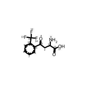 NC(CC(=O)c1ccccc1C(F)(F)F)C(=O)O